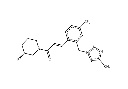 Cc1nnn(Cc2cc(C(F)(F)F)ccc2/C=C/C(=O)N2CCC[C@H](F)C2)n1